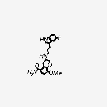 COc1ccc(C(N)=O)c2c1OC[C@H](NCCCc1c[nH]c3ccc(F)cc13)C2